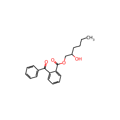 CCCCC(O)COC(=O)c1ccccc1C(=O)c1ccccc1